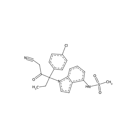 CCC(C(=O)CC#N)(c1ccc(Cl)cc1)n1ccc2c(NS(C)(=O)=O)cccc21